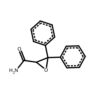 NC(=O)C1OC1(c1ccccc1)c1ccccc1